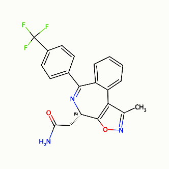 Cc1noc2c1-c1ccccc1C(c1ccc(C(F)(F)F)cc1)=N[C@H]2CC(N)=O